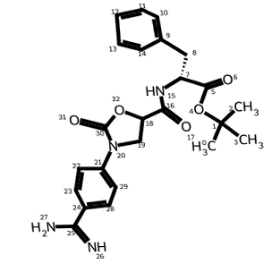 CC(C)(C)OC(=O)[C@@H](Cc1ccccc1)NC(=O)C1CN(c2ccc(C(=N)N)cc2)C(=O)O1